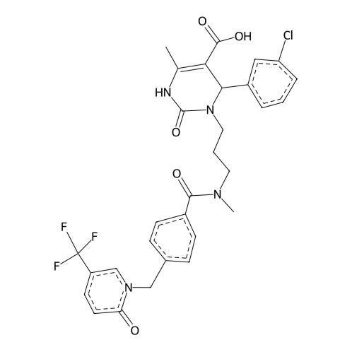 CC1=C(C(=O)O)C(c2cccc(Cl)c2)N(CCCN(C)C(=O)c2ccc(Cn3cc(C(F)(F)F)ccc3=O)cc2)C(=O)N1